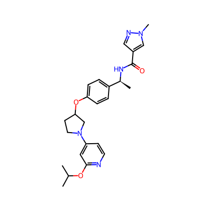 CC(C)Oc1cc(N2CCC(Oc3ccc([C@H](C)NC(=O)c4cnn(C)c4)cc3)C2)ccn1